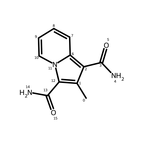 Cc1c(C(N)=O)c2ccccn2c1C(N)=O